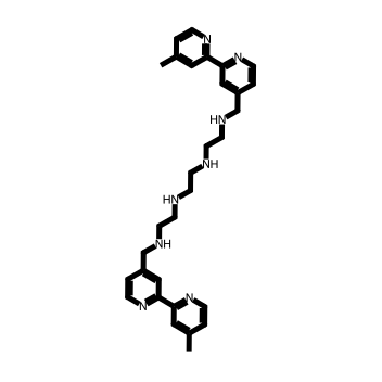 Cc1ccnc(-c2cc(CNCCNCCNCCNCc3ccnc(-c4cc(C)ccn4)c3)ccn2)c1